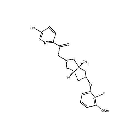 COc1cccc(O[C@H]2C[C@@H]3CN(CC(=O)c4ccc(O)cn4)C[C@]3(C)C2)c1F